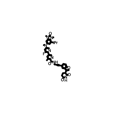 Cc1cc(-c2ncc(N(C)c3cc(C(C)C)c4c(c3)n(C)c(=O)n4C)cc2F)cnc1C(=O)NCC#Cc1ccc2occ(C3CCC(=O)NC3=O)c2c1